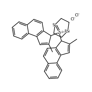 CC1=Cc2c(ccc3ccccc23)[CH]1[Zr+2]1([CH]2C(C)=Cc3c2ccc2ccccc32)=[Si]2CC[Si]=1CC2.[Cl-].[Cl-]